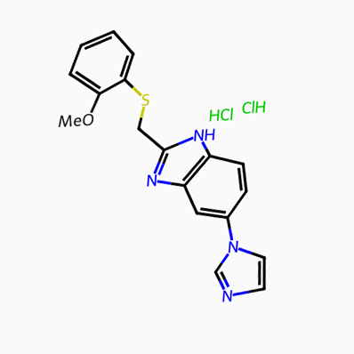 COc1ccccc1SCc1nc2cc(-n3ccnc3)ccc2[nH]1.Cl.Cl